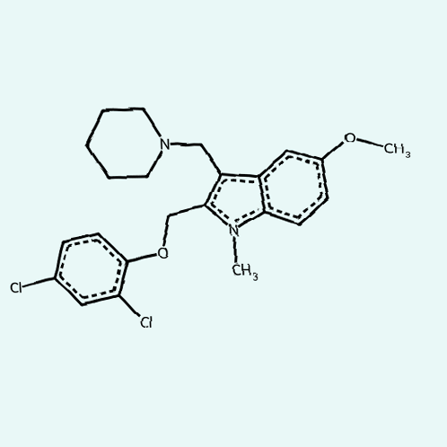 COc1ccc2c(c1)c(CN1CCCCC1)c(COc1ccc(Cl)cc1Cl)n2C